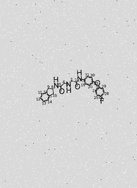 O=C(CNCC(=O)NC1Cc2ccccc2C1)Nc1ccc(Oc2ccc(F)cc2)cc1